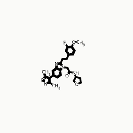 COc1ccc(CCc2nc3cc(-c4c(C)noc4C)ccc3n2CC(=O)NC2CCOC2)cc1F